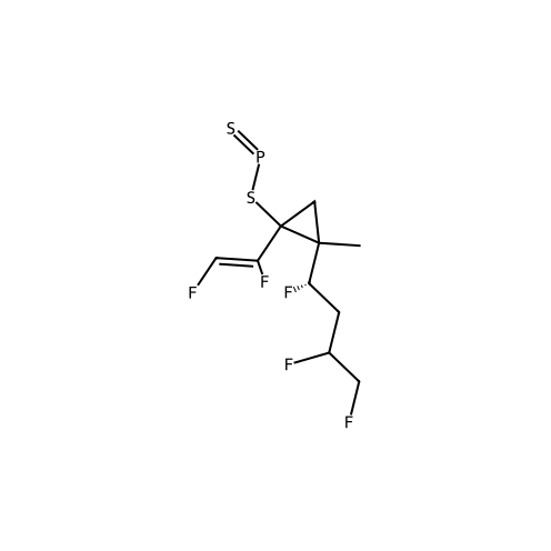 CC1([C@@H](F)CC(F)CF)CC1(SP=S)/C(F)=C/F